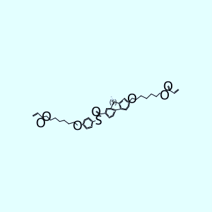 C=CC(=O)OCCCCCCOc1ccc(SC(=O)c2ccc3c(c2)[C@H](C)c2cc(OCCCCCCOC(=O)C=C)ccc2-3)cc1